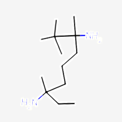 CCC(C)(N)CCCC(C)(N)C(C)(C)C